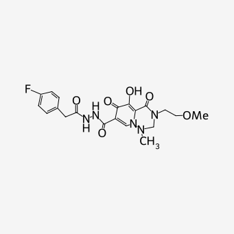 COCCN1CN(C)n2cc(C(=O)NNC(=O)Cc3ccc(F)cc3)c(=O)c(O)c2C1=O